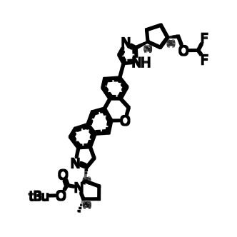 C[C@H]1CC[C@@H](C2=Nc3ccc4cc5c(cc4c3C2)OCc2cc(-c3cnc([C@H]4CC[C@@H](COC(F)F)C4)[nH]3)ccc2-5)N1C(=O)OC(C)(C)C